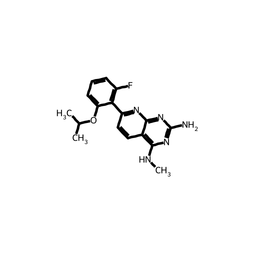 CNc1nc(N)nc2nc(-c3c(F)cccc3OC(C)C)ccc12